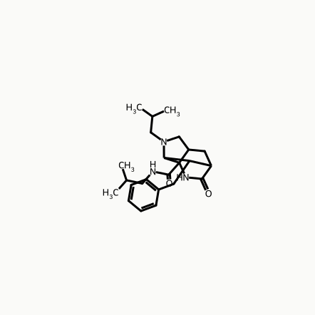 CC(C)CNC(=O)C12NC(=O)C3CC1CN(CC(C)C)C2C3Cc1ccccc1